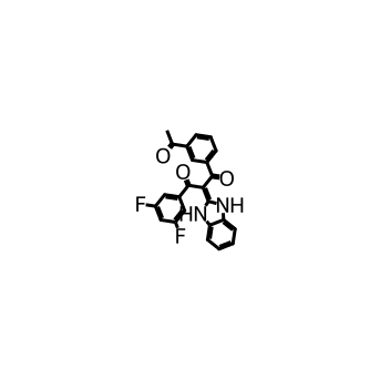 CC(=O)c1cccc(C(=O)C(C(=O)c2cc(F)cc(F)c2)=C2Nc3ccccc3N2)c1